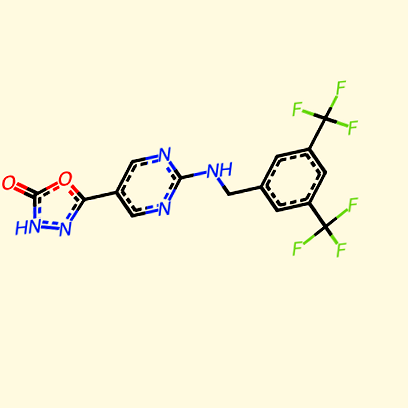 O=c1[nH]nc(-c2cnc(NCc3cc(C(F)(F)F)cc(C(F)(F)F)c3)nc2)o1